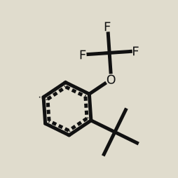 CC(C)(C)c1cc[c]cc1OC(F)(F)F